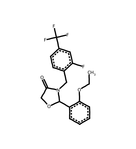 CCOc1ccccc1C1OCC(=O)N1Cc1ccc(C(F)(F)F)cc1F